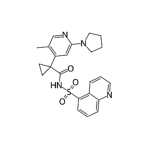 Cc1cnc(N2CCCC2)cc1C1(C(=O)NS(=O)(=O)c2cccc3ncccc23)CC1